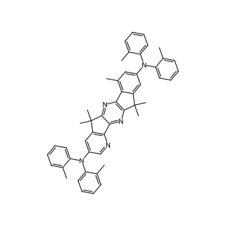 Cc1ccccc1N(c1cnc2c(c1)C(C)(C)c1nc3c(nc1-2)C(C)(C)c1cc(N(c2ccccc2C)c2ccccc2C)cc(C)c1-3)c1ccccc1C